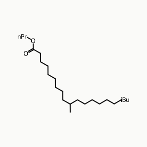 CCCOC(=O)CCCCCCCCC(C)CCCCCCC(C)CC